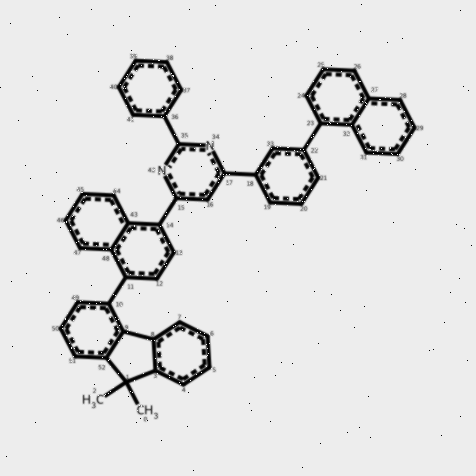 CC1(C)c2ccccc2-c2c(-c3ccc(-c4cc(-c5cccc(-c6cccc7ccccc67)c5)nc(-c5ccccc5)n4)c4ccccc34)cccc21